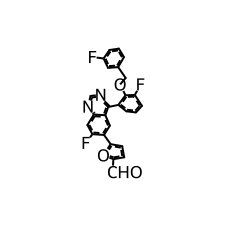 O=Cc1ccc(-c2cc3c(-c4cccc(F)c4OCc4cccc(F)c4)ncnc3cc2F)o1